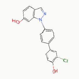 Oc1ccc2cnn(-c3ccc(-c4ccc(O)c(Cl)c4)cc3)c2c1